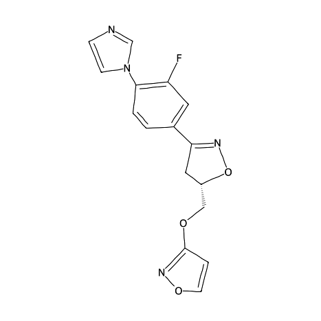 Fc1cc(C2=NO[C@H](COc3ccon3)C2)ccc1-n1ccnc1